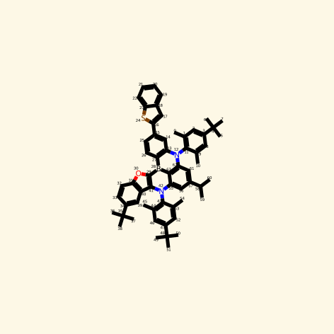 Cc1cc(C(C)(C)C)cc(C)c1N1c2cc(-c3cc4ccccc4s3)ccc2B2c3oc4ccc(C(C)(C)C)cc4c3N(c3c(C)cc(C(C)(C)C)cc3C)c3cc(C(C)C)cc1c32